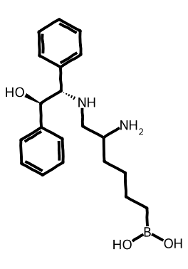 NC(CCCCB(O)O)CN[C@@H](c1ccccc1)[C@H](O)c1ccccc1